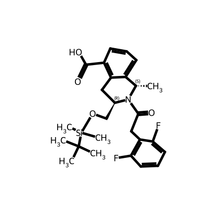 C[C@H]1c2cccc(C(=O)O)c2C[C@H](CO[Si](C)(C)C(C)(C)C)N1C(=O)Cc1c(F)cccc1F